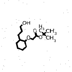 CC(C)(C)OC(=O)COC1CCCCC1CCCO